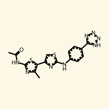 CC(=O)Nc1nc(C)c(-c2csc(Nc3ccc(-c4nnn[nH]4)cc3)n2)s1